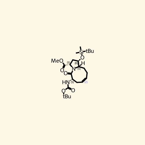 COC(=O)[C@@H]1C[C@@H](O[Si](C)(C)C(C)(C)C)[C@@H]2CC/C=C\C[C@H](NC(=O)OC(C)(C)C)C(=O)N12